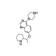 CC(Oc1ccc2c(N3CCNCC3)ncnc2c1)C1CCCCN1